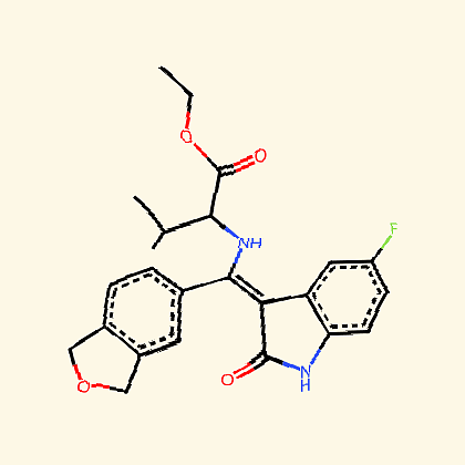 CCOC(=O)C(NC(=C1C(=O)Nc2ccc(F)cc21)c1ccc2c(c1)COC2)C(C)C